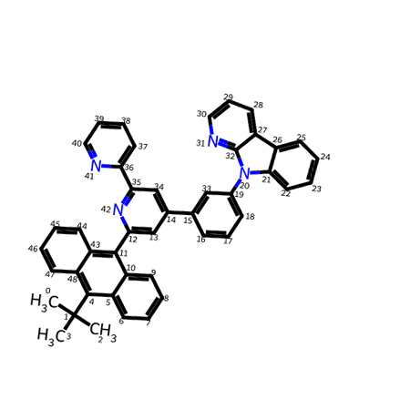 CC(C)(C)c1c2ccccc2c(-c2cc(-c3cccc(-n4c5ccccc5c5cccnc54)c3)cc(-c3ccccn3)n2)c2ccccc12